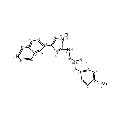 COc1ccc(C[C@H](N)CNc2nc(-c3ccc4cnccc4c3)cn2C)cc1